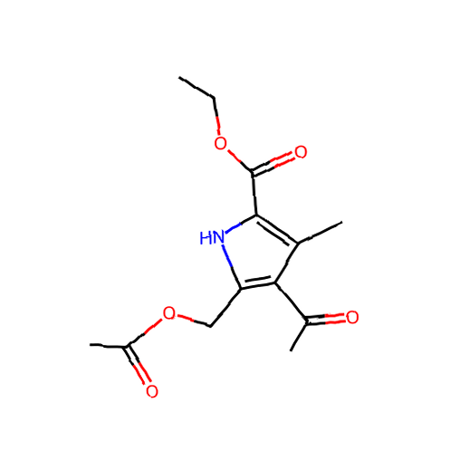 CCOC(=O)c1[nH]c(COC(C)=O)c(C(C)=O)c1C